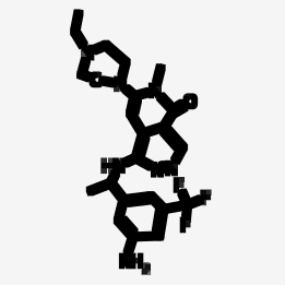 CCN1CCN(c2cc3c(NC(C)c4cc(N)cc(C(F)(F)F)c4)nncc3c(=O)n2C)CC1